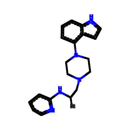 CCC(CN1CCN(c2cccc3[nH]ccc23)CC1)Nc1ccccn1